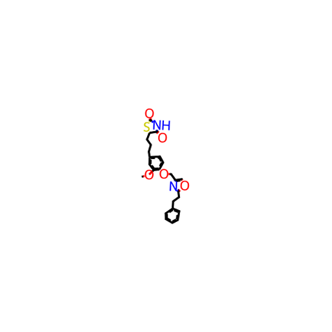 COc1cc(CCCC2SC(=O)NC2=O)ccc1OCc1coc(CCc2ccccc2)n1